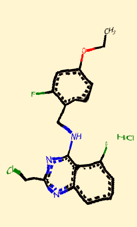 CCOc1ccc(CNc2nc(CCl)nc3cccc(F)c23)c(F)c1.Cl